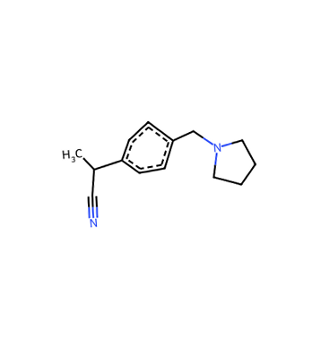 CC(C#N)c1ccc(CN2CCCC2)cc1